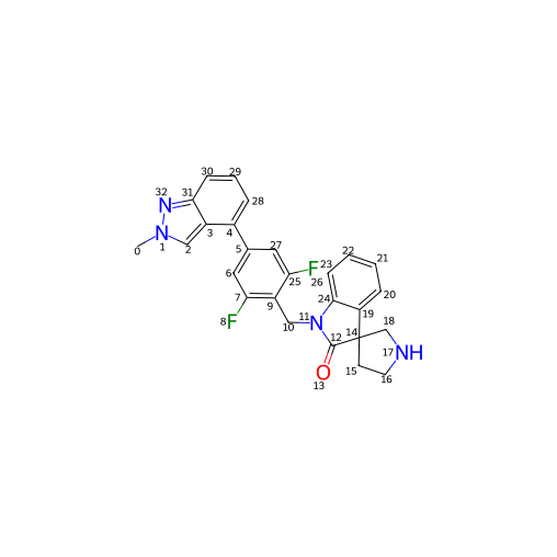 Cn1cc2c(-c3cc(F)c(CN4C(=O)C5(CCNC5)c5ccccc54)c(F)c3)cccc2n1